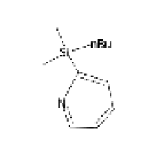 CCCC[Si](C)(C)c1ccccn1